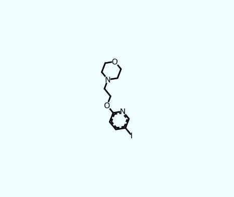 Ic1ccc(OCCN2CCOCC2)nc1